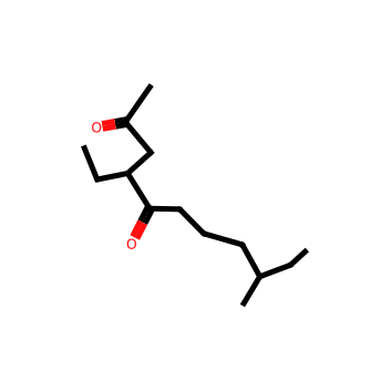 CCC(C)CCCC(=O)C(CC)CC(C)=O